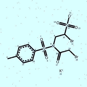 Cc1ccc(S(=O)(=O)N(CC(Br)S(=O)(=O)[O-])C(=O)CBr)cc1.[K+]